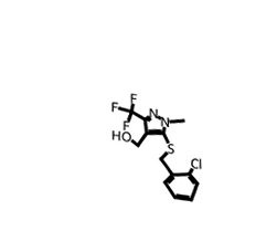 Cn1nc(C(F)(F)F)c(CO)c1SCc1ccccc1Cl